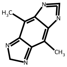 Cc1c2c(c(C)c3c1=NCN=3)N=C=N2